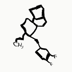 CCCC1CCc2c(ccc3ccccc23)C1C#Cc1ccc(F)c(F)c1